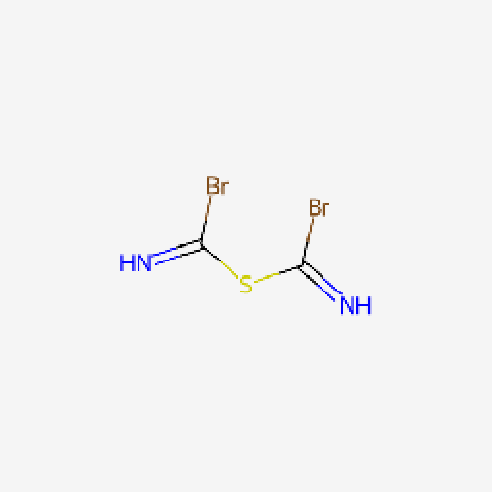 N=C(Br)SC(=N)Br